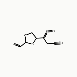 C#CCC(=S=O)C1COC(C=O)O1